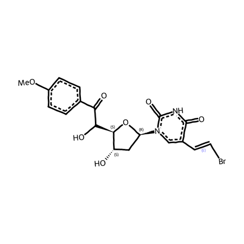 COc1ccc(C(=O)C(O)[C@H]2O[C@@H](n3cc(/C=C/Br)c(=O)[nH]c3=O)C[C@@H]2O)cc1